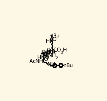 CCCCc1ccc(-c2ccc(CNCCC[C@H](NC(C)=O)C(=O)N[C@H](C(=O)N[C@@H](N)C(=O)N[C@@H](CCCCNC(=O)OC(C)(C)C)C(=O)O)[C@@H](C)OCC(C)C)cc2)cc1